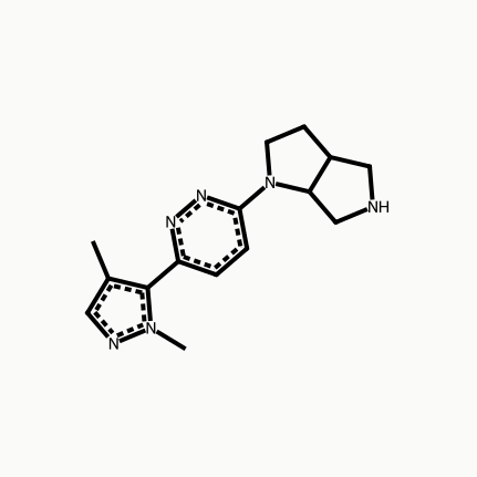 Cc1cnn(C)c1-c1ccc(N2CCC3CNCC32)nn1